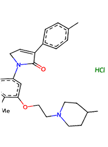 COc1ccc(N2CC=C(c3ccc(C)cc3)C2=O)cc1OCCN1CCC(C)CC1.Cl